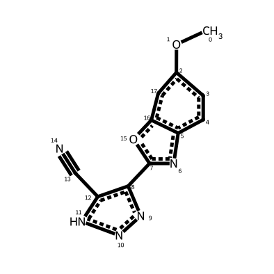 COc1ccc2nc(-c3nn[nH]c3C#N)oc2c1